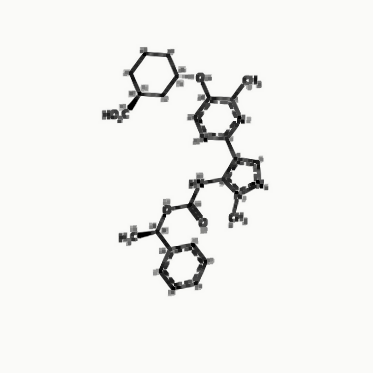 Cc1nc(-c2cnn(C)c2NC(=O)O[C@H](C)c2ccccc2)ncc1O[C@H]1CCC[C@H](C(=O)O)C1